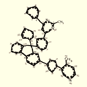 Cc1nc(-c2ccccc2)cc(-c2cccc(C3(c4ccccc4)c4ccccc4-c4ccc(-c5ccc(-c6cnccc6C)cc5)cc43)c2)n1